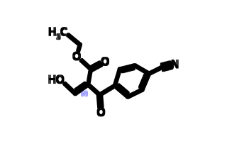 CCOC(=O)/C(=C\O)C(=O)c1ccc(C#N)cc1